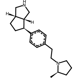 C[C@@H]1CCCN1CCc1ccc([C@H]2CC[C@@H]3CNC[C@@H]32)cc1